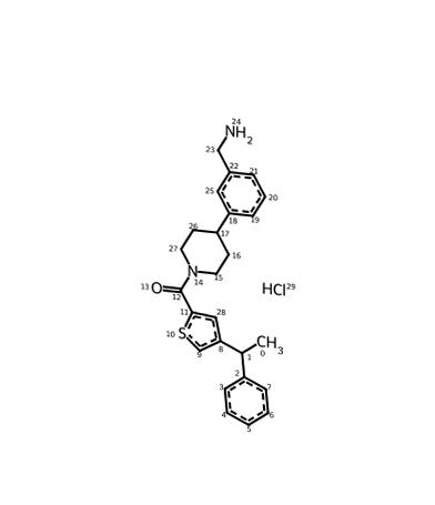 CC(c1ccccc1)c1csc(C(=O)N2CCC(c3cccc(CN)c3)CC2)c1.Cl